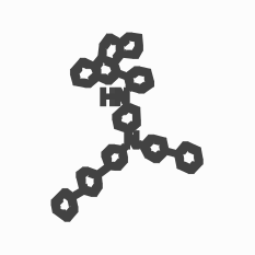 c1ccc(-c2ccc(-c3ccc(N(c4ccc(Nc5ccccc5-c5cc6ccccc6c6ccc7ccccc7c56)cc4)c4ccc(-c5ccccc5)cc4)cc3)cc2)cc1